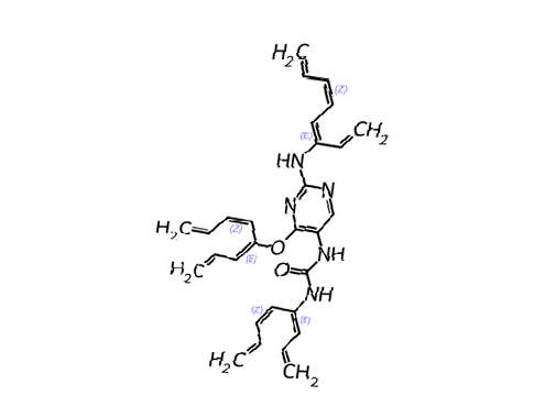 C=C/C=C\C=C(/C=C)Nc1ncc(NC(=O)NC(/C=C\C=C)=C/C=C)c(OC(/C=C\C=C)=C/C=C)n1